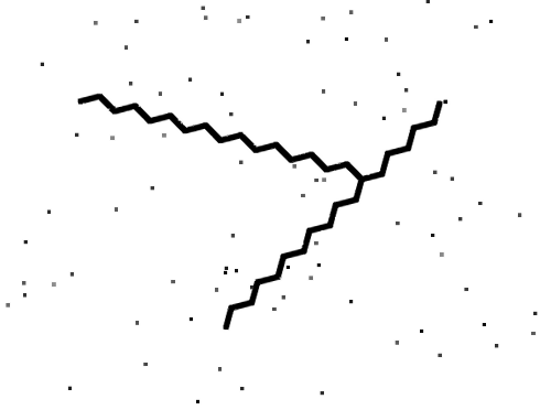 [CH2]CCCCCC(CCCCCCCCCCC)CCCCCCCCCCCCCCCC